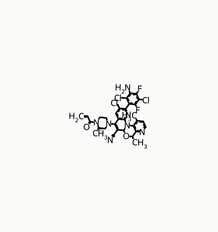 C=CC(=O)N1CCN(C2=C(C#N)C3OC(C)c4nccc(C)c4N3c3nc(-c4c(F)c(Cl)c(F)c(N)c4Cl)c(Cl)cc32)C[C@H]1C